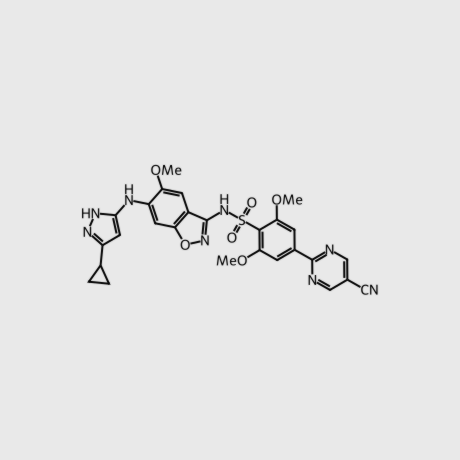 COc1cc2c(NS(=O)(=O)c3c(OC)cc(-c4ncc(C#N)cn4)cc3OC)noc2cc1Nc1cc(C2CC2)n[nH]1